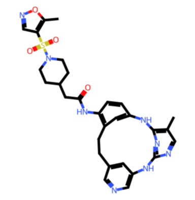 Cc1cnc2nc1Nc1ccc(NC(=O)CC3CCN(S(=O)(=O)c4cnoc4C)CC3)c(c1)CCc1cncc(c1)N2